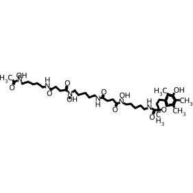 CC(=O)N(O)CCCCCNC(=O)CCC(=O)N(O)CCCCCNC(=O)CCC(=O)N(O)CCCCCNC(=O)[C@@]1(C)CCc2c(C)c(O)c(C)c(C)c2O1